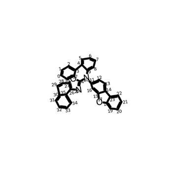 c1ccc(-c2ccccc2N(c2ccc3c(c2)oc2ccccc23)c2nc3c(ccc4ccccc43)o2)cc1